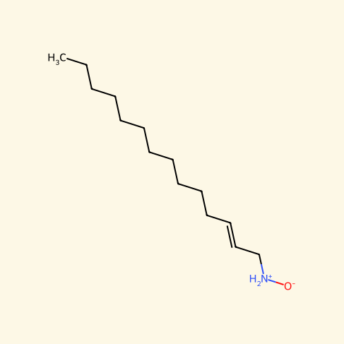 CCCCCCCCCCCC=CC[NH2+][O-]